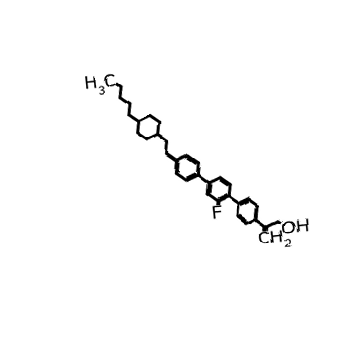 C=C(CO)c1ccc(-c2ccc(-c3ccc(CCC4CCC(CCCCC)CC4)cc3)cc2F)cc1